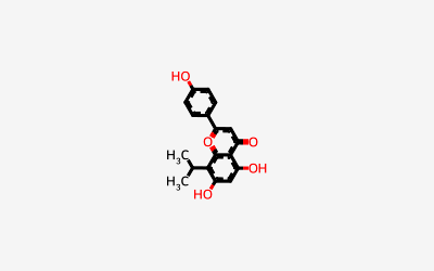 CC(C)c1c(O)cc(O)c2c(=O)cc(-c3ccc(O)cc3)oc12